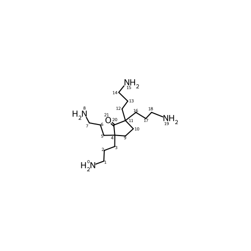 NCCCC1(CCCN)CCC(CCCN)(CCCN)C1=O